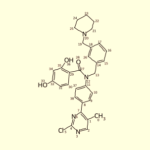 Cc1cnc(Cl)nc1-c1ccc(N(Cc2cccc(CN3CCCCC3)c2)C(=O)c2ccc(O)cc2O)cc1